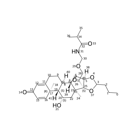 CCCC1O[C@@H]2C[C@H]3[C@@H]4CCC5=CC(=O)C=C[C@]5(C)[C@H]4[C@@H](O)C[C@]3(C)[C@]2(C(=O)COCNC(=O)C(C)C)O1